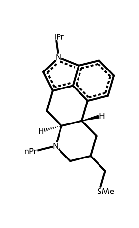 CCCN1CC(CSC)C[C@H]2c3cccc4c3c(cn4C(C)C)C[C@@H]21